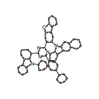 c1ccc(-c2ccc(-c3nc(-c4cc5oc6ccccc6c5cc4-n4c5ccccc5c5cc6ccccc6cc54)nc(-c4cccc5c6ccccc6n(-c6ccccc6)c45)n3)cc2)cc1